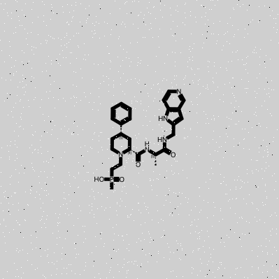 C[C@H](NC(=O)[C@H]1C[C@@H](c2ccccc2)CCN1CCP(C)(=O)O)C(=O)NCc1cc2cnccc2[nH]1